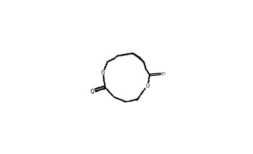 O=C1CCCCOC(=O)CCCO1